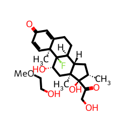 COCCO.C[C@H]1C[C@H]2[C@@H]3CCC4=CC(=O)C=C[C@]4(C)[C@@]3(F)[C@@H](O)C[C@]2(C)[C@@]1(O)C(=O)CO